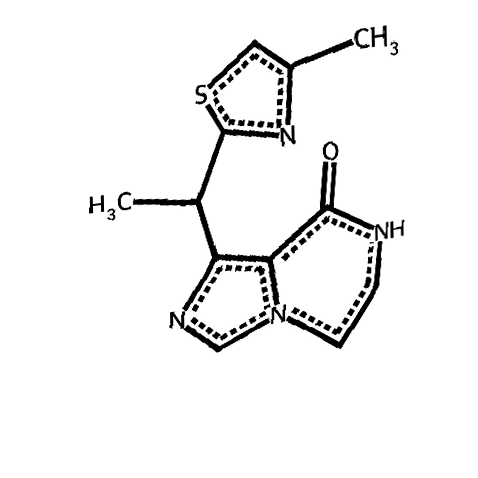 Cc1csc(C(C)c2ncn3cc[nH]c(=O)c23)n1